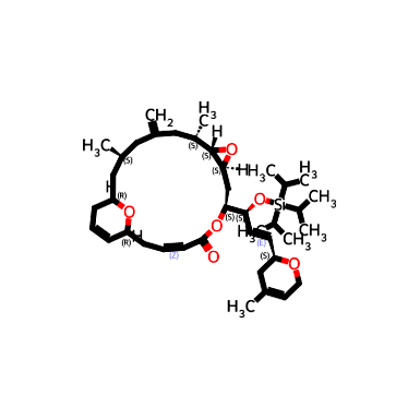 C=C1C[C@H](C)C[C@@H]2CC=C[C@@H](C/C=C\C(=O)O[C@H]([C@H](/C=C/[C@@H]3CC(C)=CCO3)O[Si](C(C)C)(C(C)C)C(C)C)C[C@@H]3O[C@H]3[C@@H](C)C1)O2